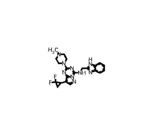 CN1CCN(c2nc(NCc3nc4ccccc4[nH]3)n3ncc(C4CC4(F)F)c3n2)CC1